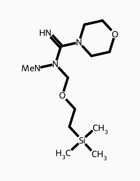 CNN(COCC[Si](C)(C)C)C(=N)N1CCOCC1